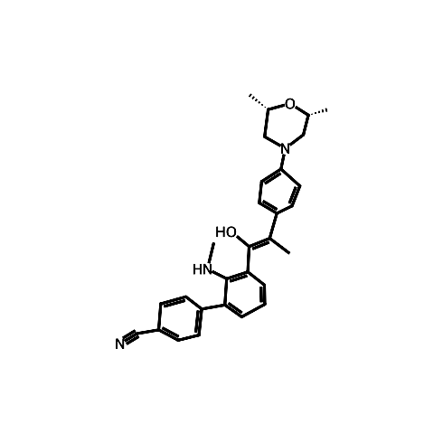 CNc1c(/C(O)=C(\C)c2ccc(N3C[C@@H](C)O[C@@H](C)C3)cc2)cccc1-c1ccc(C#N)cc1